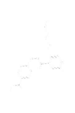 CCCCCOc1ncc(Cl)cc1C(=O)N[C@@H](C)c1ccc(C(=O)OC)cc1